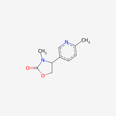 Cc1ccc(C2COC(=O)N2C)cn1